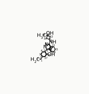 C=Cc1ccc(-c2nnc(NC3CC(C)(O)C3)c3c2C2CCC3CC2)c(O)c1